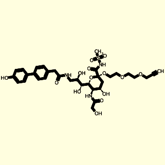 C#CCOCCOCCO[C@]1(C(=O)NS(C)(=O)=O)C[C@H](O)[C@@H](NC(=O)CO)[C@H]([C@H](O)[C@H](O)CNC(=O)Cc2ccc(-c3ccc(O)cc3)cc2)O1